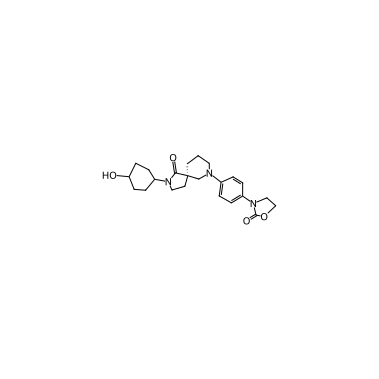 O=C1OCCN1c1ccc(N2CCC[C@@]3(CCN(C4CCC(O)CC4)C3=O)C2)cc1